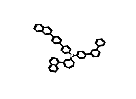 C1=CCC(N(c2ccc(-c3ccc(-c4ccc5ccccc5c4)cc3)cc2)c2ccc(-c3cccc(-c4ccccc4)c3)cc2)=CC(c2cccc3ccccc23)=C1